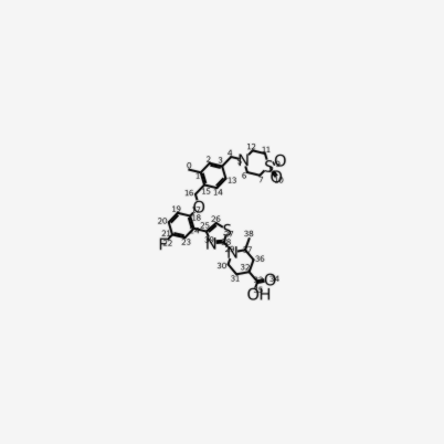 Cc1cc(CN2CCS(=O)(=O)CC2)ccc1COc1ccc(F)cc1-c1csc(N2CCC(C(=O)O)CC2C)n1